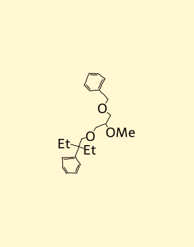 CCC(CC)(COCC(COCc1ccccc1)OC)c1ccccc1